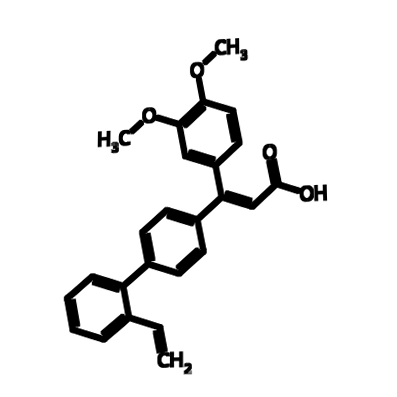 C=Cc1ccccc1-c1ccc(C(=CC(=O)O)c2ccc(OC)c(OC)c2)cc1